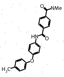 CNC(=O)c1ccc(C(=O)Nc2ccc(Oc3ccc(C)cc3)cc2)cc1